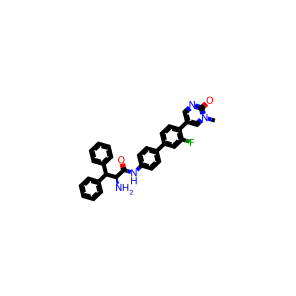 Cn1cc(-c2ccc(-c3ccc(NC(=O)[C@@H](N)C(c4ccccc4)c4ccccc4)cc3)cc2F)cnc1=O